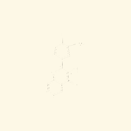 COc1cc(-c2oc3ccccc3c(=O)c2O)ccc1F